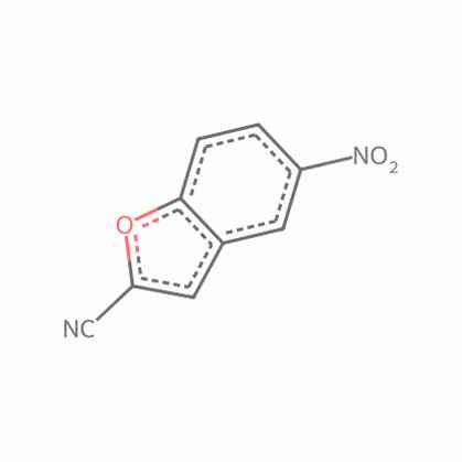 N#Cc1cc2cc([N+](=O)[O-])ccc2o1